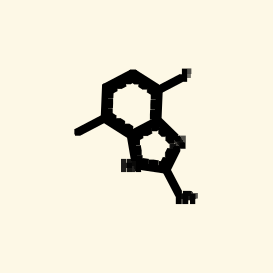 CCCc1nc2c(F)ccc(C)c2[nH]1